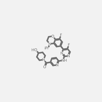 CC(C)N1CCOc2c(F)cc(-c3nc(Nc4ccc(C(=O)N5CCC(O)CC5)cn4)ncc3F)cc21